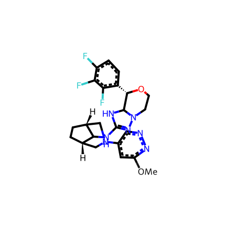 COc1cc(N2C[C@H]3CC[C@@H](C2)C3NC2=NN3CCO[C@@H](c4ccc(F)c(F)c4F)C3N2)cnn1